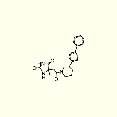 CC1(CC(=O)N2CCCC(c3ccc(-c4ccccc4)cc3)C2)NC(=O)NC1=O